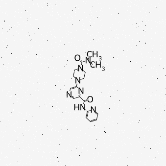 CN(C)C(=O)N1CCN(c2cncc(C(=O)Nc3ccccn3)n2)CC1